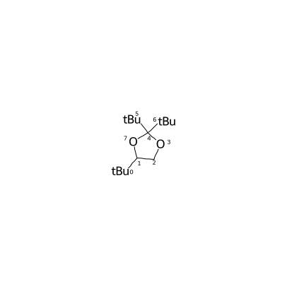 CC(C)(C)C1COC(C(C)(C)C)(C(C)(C)C)O1